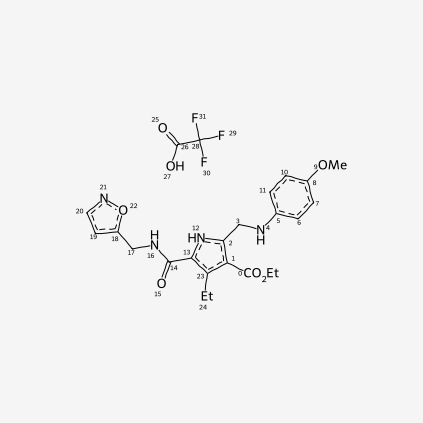 CCOC(=O)c1c(CNc2ccc(OC)cc2)[nH]c(C(=O)NCc2ccno2)c1CC.O=C(O)C(F)(F)F